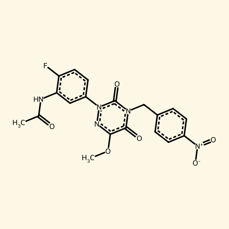 COc1nn(-c2ccc(F)c(NC(C)=O)c2)c(=O)n(Cc2ccc([N+](=O)[O-])cc2)c1=O